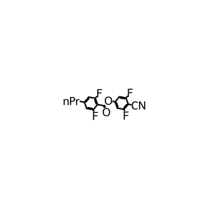 CCCc1cc(F)c(C(=O)Oc2cc(F)c(C#N)c(F)c2)c(F)c1